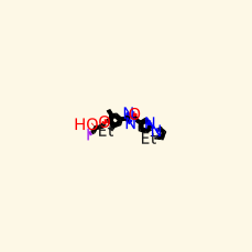 CCc1cc(-c2nc(-c3cc(C)c(OC[C@@H](O)CI)c(CC)c3)no2)cnc1N1CCCC1